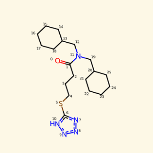 O=C(CCCSc1nnn[nH]1)N(CC1CCCCC1)CC1CCCCC1